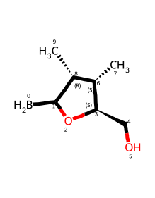 BC1O[C@H](CO)[C@@H](C)[C@H]1C